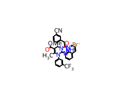 COC(=O)C1=C(C)N(c2cccc(C(F)(F)F)c2)c2n[nH]c(=O)n2[C@@H]1c1ccc(C#N)cc1CC[n+]1cccc2ccccc21.[Br-]